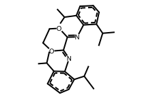 CC(C)c1cccc(C(C)C)c1N=C1OCCOC1=Nc1c(C(C)C)cccc1C(C)C